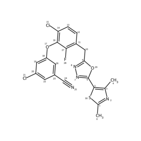 Cc1nc(C)c(-c2nnc(Cc3ccc(Cl)c(Oc4cc(Cl)cc(C#N)c4)c3F)o2)s1